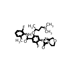 Cc1cccc(F)c1NC(=O)c1cc(F)c(-n2nc3n(c2=O)CCOC3)cc1O[C@H](C)CCN(C)C